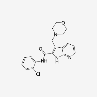 O=C(Nc1ccccc1Cl)c1[nH]c2ncccc2c1CN1CCOCC1